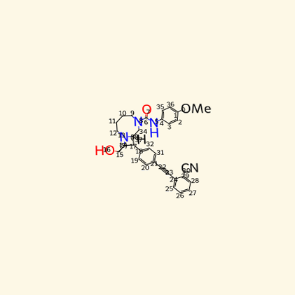 COc1ccc(NC(=O)N2CCCCN3[C@H](CO)C(c4ccc(C#Cc5ccccc5C#N)cc4)[C@@H]3C2)cc1